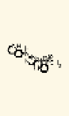 CP(C)(=O)c1ccccc1Nc1nc(Nc2ccc3c(c2)NCCC3)ncc1Cl